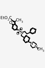 CCOC(=O)c1oc2ccc(S(=O)(=O)N(CCc3ccccc3)Cc3ccc(N4CCN(C)CC4)cc3)cc2c1C